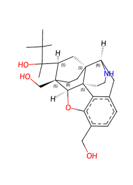 CC(C)(C)C(C)(O)[C@H]1C[C@@]23CC[C@]1(CO)[C@@H]1Oc4c(CO)ccc5c4[C@@]12CCN[C@@H]3C5